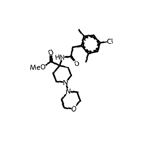 COC(=O)C1(NC(=O)Cc2c(C)cc(Cl)cc2C)CCN(N2CCOCC2)CC1